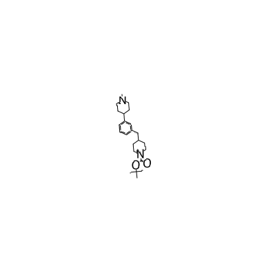 CN1CCC(c2cccc(CC3CCN(C(=O)OC(C)(C)C)CC3)c2)CC1